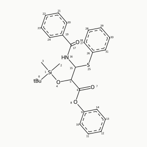 CC(C)(C)[Si](C)(C)OC(C(=O)Oc1ccccc1)C(NC(=O)c1ccccc1)Sc1ccccc1